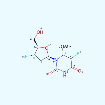 COC1C(F)C(=O)NC(=O)N1[C@H]1CC(F)[C@@H](CO)O1